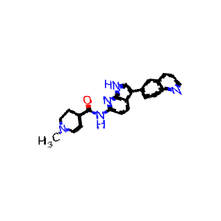 CN1CCC(C(=O)Nc2ccc3c(-c4ccc5ncccc5c4)c[nH]c3n2)CC1